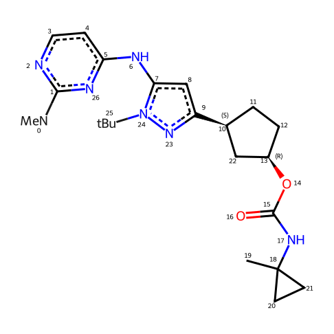 CNc1nccc(Nc2cc([C@H]3CC[C@@H](OC(=O)NC4(C)CC4)C3)nn2C(C)(C)C)n1